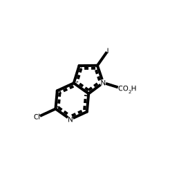 O=C(O)n1c(I)cc2cc(Cl)ncc21